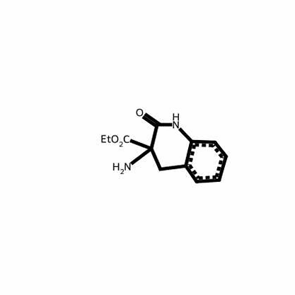 CCOC(=O)C1(N)Cc2ccccc2NC1=O